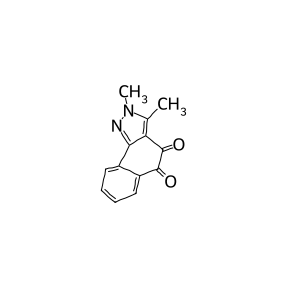 Cc1c2c(nn1C)-c1ccccc1C(=O)C2=O